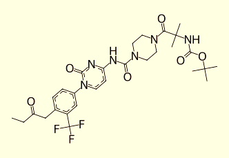 CCC(=O)Cc1ccc(-n2ccc(NC(=O)N3CCN(C(=O)C(C)(C)NC(=O)OC(C)(C)C)CC3)nc2=O)cc1C(F)(F)F